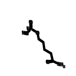 NC(=O)CCCCO[PH](=O)O